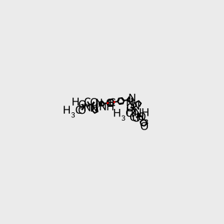 COC(=O)NC(C)C(=O)N1CCC[C@H]1c1ncc(C23CCC(c4ccc(-c5cnc([C@@H]6CCCN6C(=O)[C@@H](NC(=O)OC6CCOCC6)C(C)C)[nH]5)cc4)(CC2)CC3)[nH]1